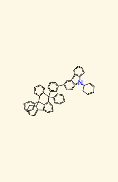 C1=CCC(n2c3ccccc3c3cc(-c4cccc(C5(c6ccccc6)c6ccccc6C6(c7ccccc7)c7c(cccc75)C5=CC=CCC56)c4)ccc32)C=C1